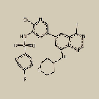 Cc1ncnc2c(OC3CCOCC3)cc(-c3cnc(Cl)c(NS(=O)(=O)c4ccc(F)cc4)c3)cc12